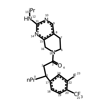 CCCC(CC(=O)N1CCc2cnc(NC(C)C)nc2C1)c1ccc(C(F)(F)F)c(F)c1